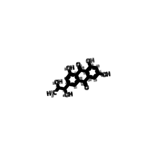 CC(O)C(O)c1cc(O)c2c(c1)C(=O)c1cc(O)cc(O)c1C2=O